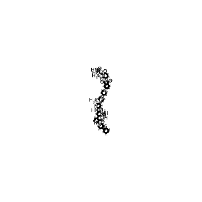 [2H]C([2H])([2H])n1cc(-c2ccnc(N3CCc4c(sc5c4CCCC5)C3=O)c2CO)cc(Nc2ccc(N3CCN(C4CCN(c5ccc6c(c5)C(=O)N(C5CCC(=O)N(C(C)OP(=O)(O)O)C5=O)C6=O)CC4)C[C@@H]3C)cn2)c1=O